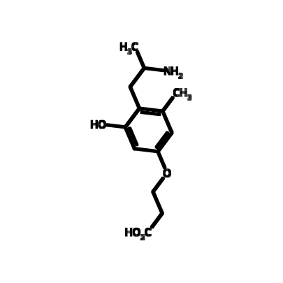 Cc1cc(OCCC(=O)O)cc(O)c1CC(C)N